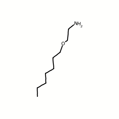 CCCCCCCOCCN